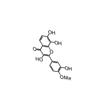 COc1ccc(-c2oc3c(O)c(O)ccc3c(=O)c2O)cc1O